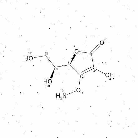 NOC1=C(O)C(=O)O[C@@H]1[C@@H](O)CO